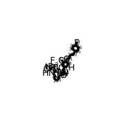 CC(C)(C)OC(=O)NC(=NC(=O)O)N1CCCC1c1nc(-c2ccc(OC/C=C/c3ccc(F)cc3)c(C(F)(F)F)c2)no1